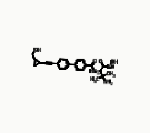 CC(C)(N)[C@H](NC(=O)c1ccc(-c2ccc(C#CC3CC3CO)cc2)cc1)C(=O)NO